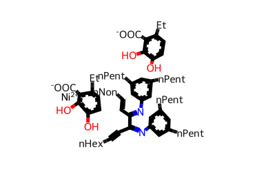 CCCCCCC#CC(=Nc1cc(CCCCC)cc(CCCCC)c1)C(C=CCCCCCCCCC)=Nc1cc(CCCCC)cc(CCCCC)c1.CCc1ccc(O)c(O)c1C(=O)[O-].CCc1ccc(O)c(O)c1C(=O)[O-].[Ni+2]